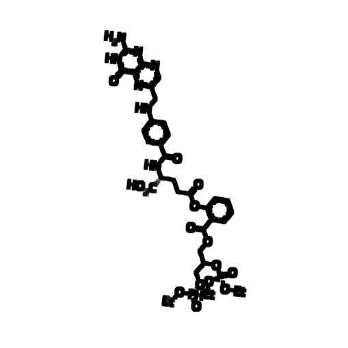 CCO[PH](=O)OCC(COC(=O)c1ccccc1OC(=O)CC[C@@H](NC(=O)c1ccc(NCc2cnc3nc(N)[nH]c(=O)c3n2)cc1)C(=O)O)OP(=O)(OCC)OCC